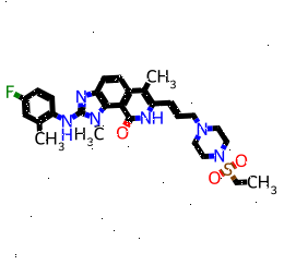 CCS(=O)(=O)N1CCN(CC=Cc2[nH]c(=O)c3c(ccc4nc(Nc5ccc(F)cc5C)n(C)c43)c2C)CC1